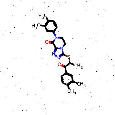 Cc1ccc(C(=O)C(C)Sc2nnc3n2CCN(c2ccc(C)c(C)c2)C3=O)cc1C